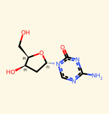 Nc1ncn([C@@H]2C[C@@H](O)[C@@H](CO)O2)c(=O)n1